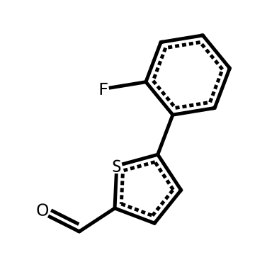 O=Cc1ccc(-c2ccccc2F)s1